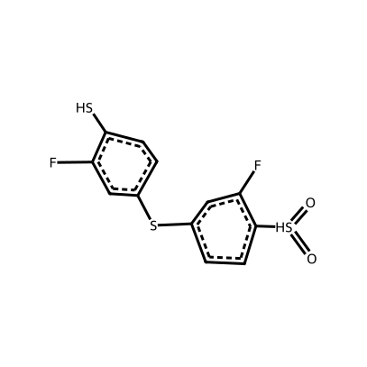 O=[SH](=O)c1ccc(Sc2ccc(S)c(F)c2)cc1F